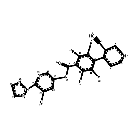 C#Cc1cnccc1-c1c(F)c(F)c(C(=O)Nc2cnc(-n3nccn3)c(Cl)c2)c(F)c1F